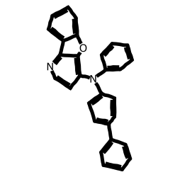 c1ccc(-c2ccc(N(c3ccccc3)c3ccnc4c3oc3ccccc34)cc2)cc1